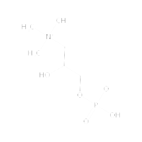 C[N+](C)(C)CC(O)COP(=O)([O-])O